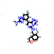 CN(C)c1nc2c(-c3cnc(NCc4c(F)ccc5c4CCO5)n4cnnc34)cc(F)cn2n1